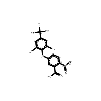 O=C(O)c1cc(Oc2c(F)cc(C(F)(F)F)cc2F)ccc1[N+](=O)[O-]